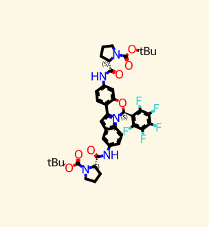 CC(C)(C)OC(=O)N1CCC[C@H]1C(=O)Nc1ccc2c(c1)O[C@@H](c1c(F)c(F)c(F)c(F)c1F)n1c-2cc2cc(NC(=O)[C@@H]3CCCN3C(=O)OC(C)(C)C)ccc21